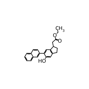 CCOC(=O)CC1CCc2cc(O)c(-c3ccc4ccccc4c3)cc21